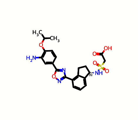 CC(C)Oc1ccc(-c2nc(-c3cccc4c3CC[C@@H]4NS(=O)(=O)CC(=O)O)no2)cc1N